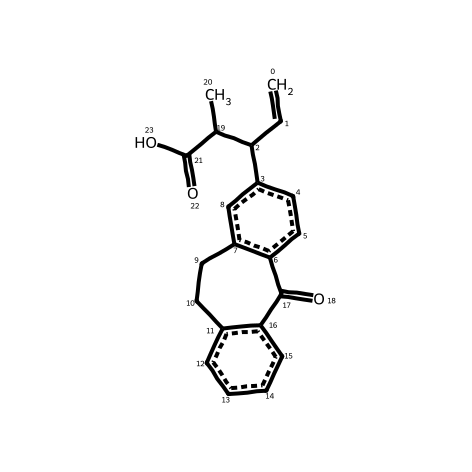 C=CC(c1ccc2c(c1)CCc1ccccc1C2=O)C(C)C(=O)O